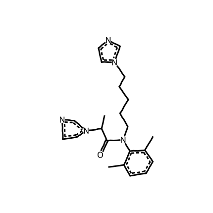 Cc1cccc(C)c1N(CCCCCn1ccnc1)C(=O)C(C)n1ccnc1